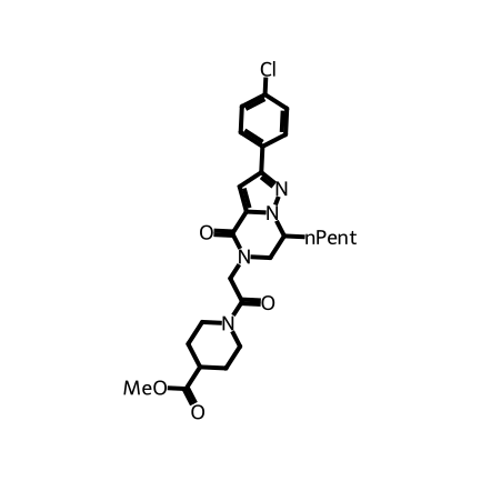 CCCCCC1CN(CC(=O)N2CCC(C(=O)OC)CC2)C(=O)c2cc(-c3ccc(Cl)cc3)nn21